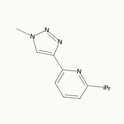 CC(C)c1cccc(-c2cn(C)nn2)n1